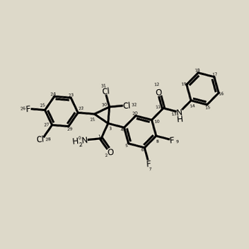 NC(=O)C1(c2cc(F)c(F)c(C(=O)Nc3ccccc3)c2)C(c2ccc(F)c(Cl)c2)C1(Cl)Cl